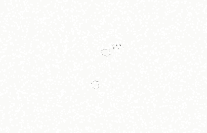 CSc1cc(CCCCSc2cc(C)ccc2C(=O)O)ccc1C(=O)O